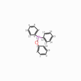 c1ccc(OP(c2ccccc2)c2ccccc2)cc1